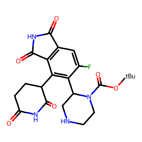 CC(C)(C)OC(=O)N1CCNCC1c1c(F)cc2c(c1C1CCC(=O)NC1=O)C(=O)NC2=O